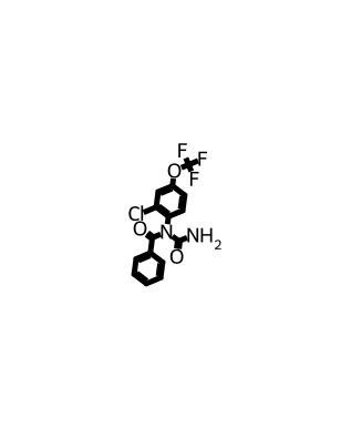 NC(=O)N(C(=O)c1ccccc1)c1ccc(OC(F)(F)F)cc1Cl